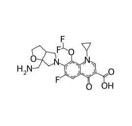 NCC12CN(c3c(F)cc4c(=O)c(C(=O)O)cn(C5CC5)c4c3OC(F)F)CC1CCO2